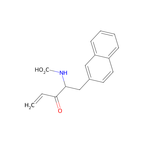 C=CC(=O)C(Cc1ccc2ccccc2c1)NC(=O)O